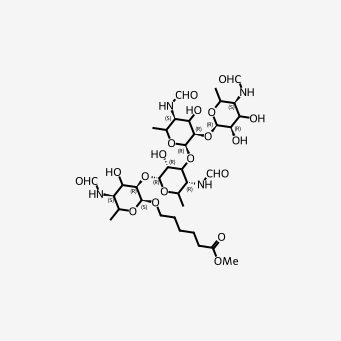 COC(=O)CCCCCO[C@H]1OC(C)[C@@H](NC=O)C(O)[C@H]1O[C@H]1OC(C)[C@@H](NC=O)C(O[C@H]2OC(C)[C@@H](NC=O)C(O)[C@H]2O[C@H]2OC(C)[C@@H](NC=O)C(O)[C@H]2O)[C@H]1O